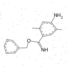 Cc1cc(C(=N)OCc2ccccc2)c(C)cc1N